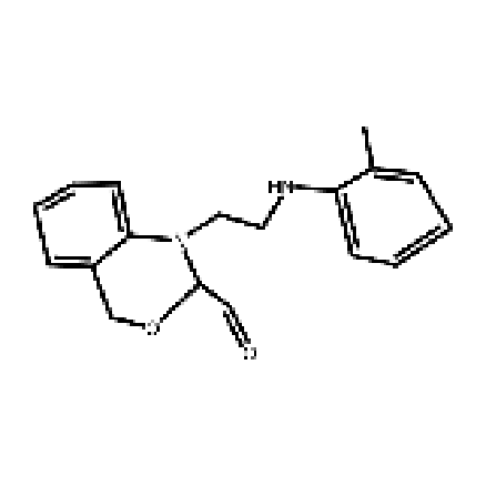 Cc1ccccc1NCCN1c2ccccc2COC1C=O